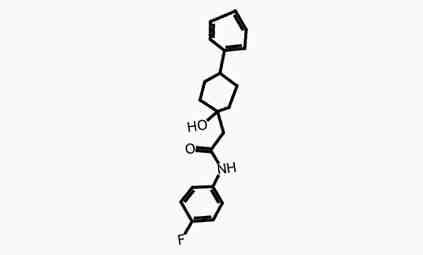 O=C(CC1(O)CCC(c2ccccc2)CC1)Nc1ccc(F)cc1